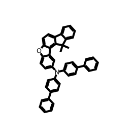 CC1(C)c2ccccc2-c2ccc3oc4ccc(N(c5ccc(-c6ccccc6)cc5)c5ccc(-c6ccccc6)cc5)cc4c3c21